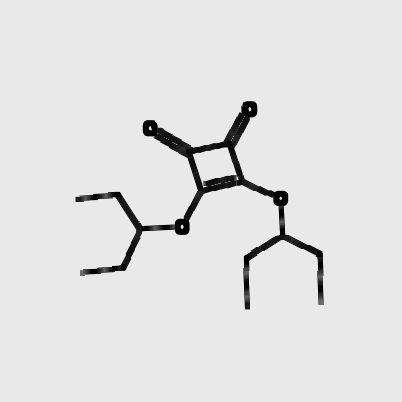 CCC(CC)Oc1c(OC(CC)CC)c(=O)c1=O